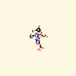 COC(=O)C1=C(CN2CCO[C@@H](CCC(=O)O)C2)NC(c2nccs2)=N[C@@H]1c1ccc(F)cc1Br